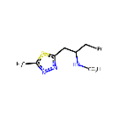 Cc1nnc(CC(CC(C)C)NC(=O)O)s1